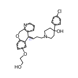 OCCOc1ccc2c(c1)/C(=C/CCN1CCC(O)(c3ccc(Cl)cc3)CC1)c1cccnc1CO2